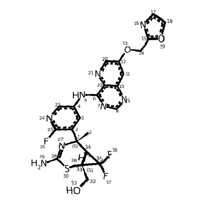 C[C@]1(c2cc(Nc3ncnc4cc(OCc5ncco5)cnc34)cnc2F)N=C(N)S[C@]2(CO)[C@H]1C2(F)F